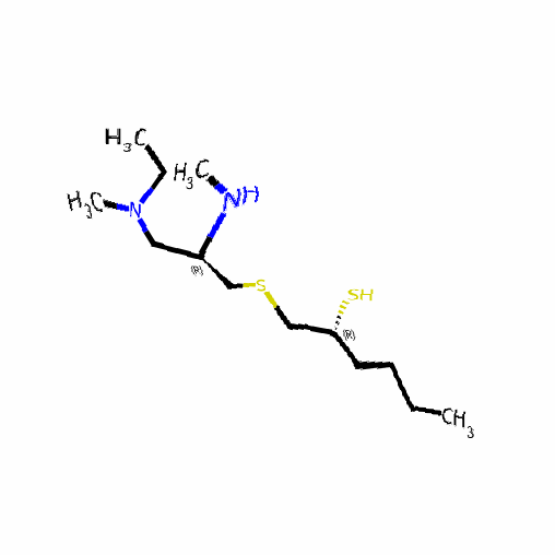 CCCC[C@@H](S)CSC[C@@H](CN(C)CC)NC